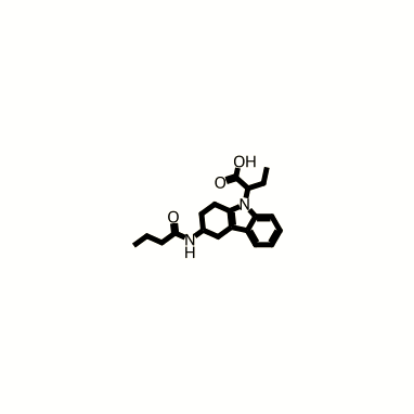 CCCC(=O)NC1CCc2c(c3ccccc3n2C(CC)C(=O)O)C1